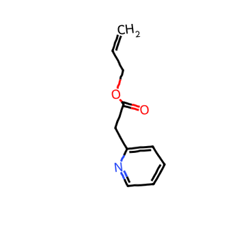 C=CCOC(=O)Cc1ccccn1